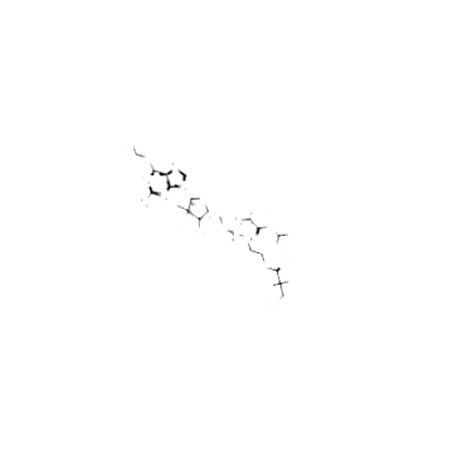 CCOc1nc(N)nc2c1ncn2[C@@H]1O[C@H](CO[P@](=O)(N[C@@H](C)C(=O)OC(C)C)OCCSC(=O)C(C)(C)CO)[C@@H](O)[C@@]1(C)Cl